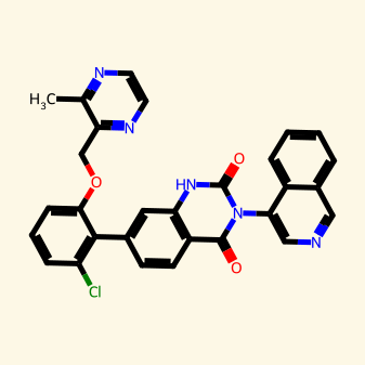 Cc1nccnc1COc1cccc(Cl)c1-c1ccc2c(=O)n(-c3cncc4ccccc34)c(=O)[nH]c2c1